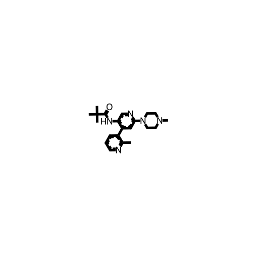 Cc1ncccc1-c1cc(N2CCN(C)CC2)ncc1NC(=O)C(C)(C)C